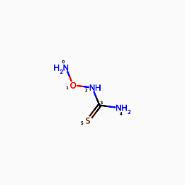 NONC(N)=S